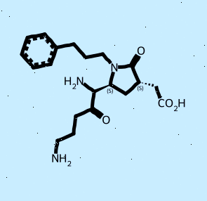 NCCCC(=O)C(N)[C@@H]1C[C@@H](CC(=O)O)C(=O)N1CCCc1ccccc1